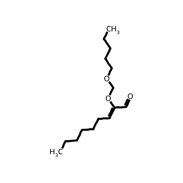 CCCCCCC=C(C=O)OCOCCCCC